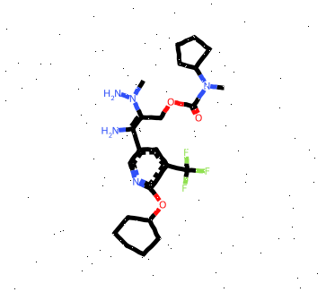 CN(N)/C(COC(=O)N(C)C1CCCC1)=C(\N)c1cnc(OC2CCCCC2)c(C(F)(F)F)c1